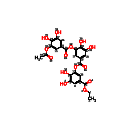 CCOC(=O)c1cc(O)c(O)c(OC(=O)c2cc(O)c(O)c(OC(=O)c3cc(O)c(O)c(OC(C)=O)c3)c2)c1